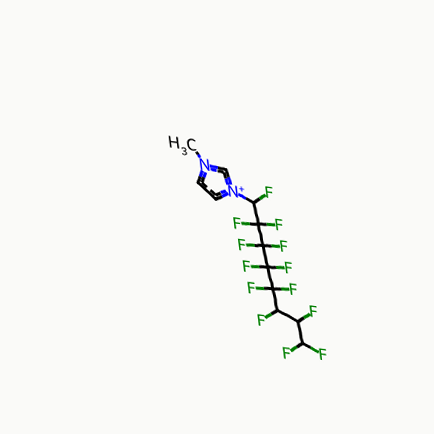 Cn1cc[n+](C(F)C(F)(F)C(F)(F)C(F)(F)C(F)(F)C(F)C(F)C(F)F)c1